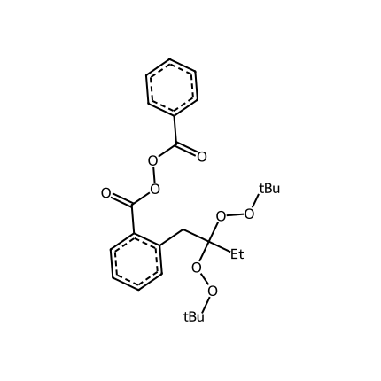 CCC(Cc1ccccc1C(=O)OOC(=O)c1ccccc1)(OOC(C)(C)C)OOC(C)(C)C